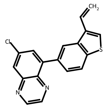 C=Cc1csc2ccc(-c3cc(Cl)cc4nccnc34)cc12